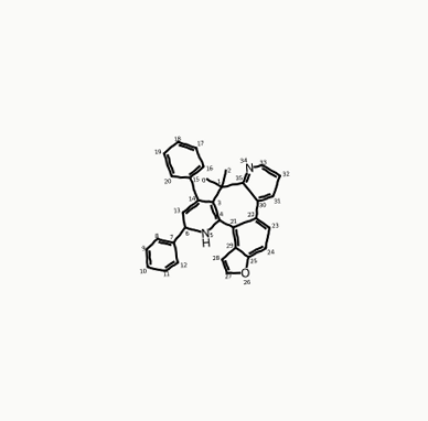 CC1(C)C2=C(NC(c3ccccc3)C=C2c2ccccc2)c2c(ccc3occc23)-c2cccnc21